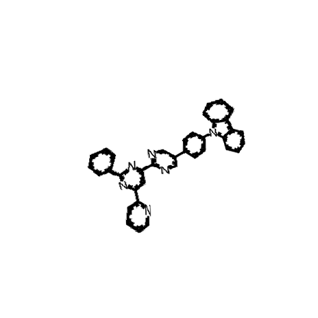 c1ccc(-c2nc(-c3ccccn3)cc(-c3ncc(-c4ccc(-n5c6ccccc6c6ccccc65)cc4)cn3)n2)cc1